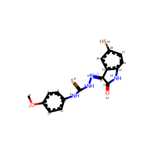 COc1ccc(NC(=S)N/N=C2\C(=O)Nc3ccc(S)cc32)cc1